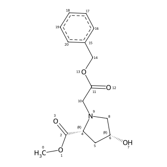 COC(=O)[C@H]1C[C@@H](O)CN1CC(=O)OCc1ccccc1